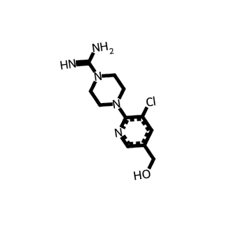 N=C(N)N1CCN(c2ncc(CO)cc2Cl)CC1